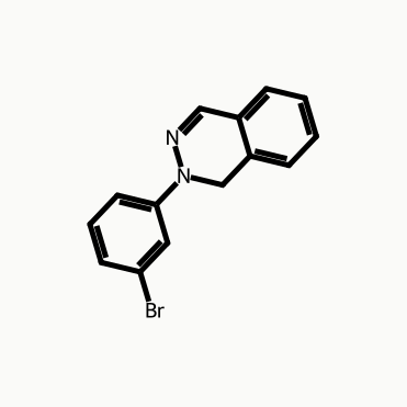 Brc1cccc(N2Cc3ccccc3C=N2)c1